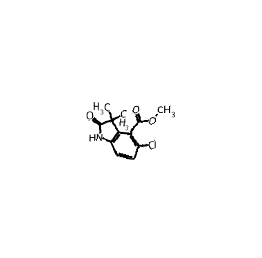 COC(=O)c1c(Cl)ccc2c1C(C)(C)C(=O)N2